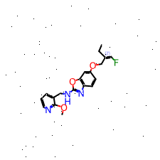 CC/C(=C/F)COc1ccc2nc(NCc3cccnc3OC)oc2c1